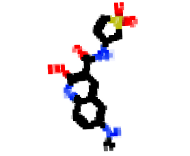 CCNc1ccc2nc(O)c(C(=O)NC3C=CS(=O)(=O)C3)cc2c1